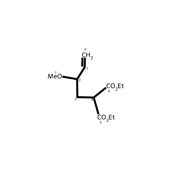 C=CC(CC(C(=O)OCC)C(=O)OCC)OC